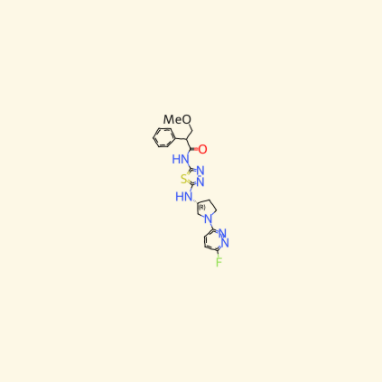 COCC(C(=O)Nc1nnc(N[C@@H]2CCN(c3ccc(F)nn3)C2)s1)c1ccccc1